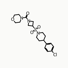 O=C(N1CCOCC1)N1CC(S(=O)(=O)N2CCC(c3ccc(Cl)cc3)CC2)C1